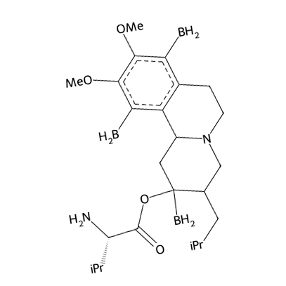 Bc1c2c(c(B)c(OC)c1OC)C1CC(B)(OC(=O)[C@@H](N)C(C)C)C(CC(C)C)CN1CC2